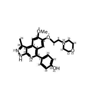 COc1cc2c(cc1OCCN1CCOCC1)c(-c1ccc(O)cc1)nc1[nH]nc(C)c12